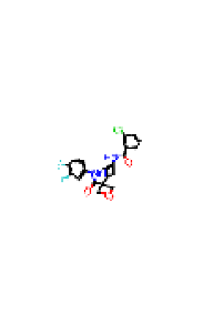 O=C(NC12CC(C3(C(=O)Nc4ccc(F)c(F)c4)COC3)(C1)C2)c1cccc(Cl)c1